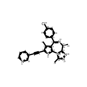 Cc1c(C#Cc2cccnc2)sc2c1C(c1ccc(Cl)cc1)=N[C@@H](C)c1nnc(C)n1-2